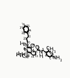 Cc1nc(N)ccc1CNC(=O)[C@@H]1CCc2cnc(NCCCc3ccccc3)c(=O)n21.Cl.Cl